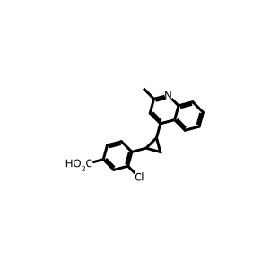 Cc1cc(C2CC2c2ccc(C(=O)O)cc2Cl)c2ccccc2n1